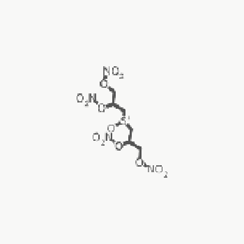 O=[N+]([O-])OCC(C[S+]([O-])CC(CO[N+](=O)[O-])O[N+](=O)[O-])O[N+](=O)[O-]